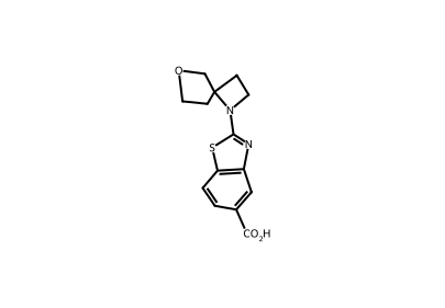 O=C(O)c1ccc2sc(N3CCC34CCOC4)nc2c1